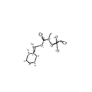 CN(SC(Cl)(Cl)Cl)C(=O)ON=C1CSCCS1